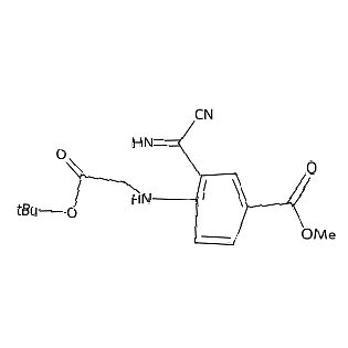 COC(=O)c1ccc(NCC(=O)OC(C)(C)C)c(C(=N)C#N)c1